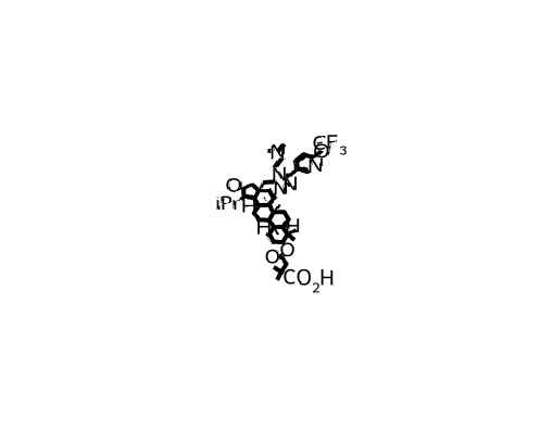 CC(C)C1=C2[C@H]3CC[C@@H]4[C@@]5(C)CC[C@H](OC(=O)CC(C)(C)C(=O)O)C(C)(C)[C@@H]5CC[C@@]4(C)[C@]3(C)CC[C@@]2(Cc2nnc(-c3ccc(OC(F)(F)F)nc3)n2CCN(C)C)CC1=O